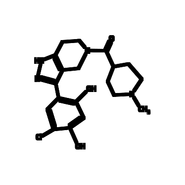 CN1CCC(C(=O)N2CCc3[nH]nc(-c4cc(Cl)c(O)cc4O)c3C2)CC1